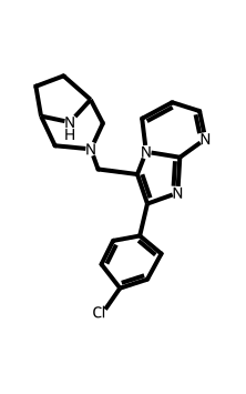 Clc1ccc(-c2nc3ncccn3c2CN2CC3CCC(C2)N3)cc1